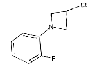 CCC1CN(c2ccccc2F)C1